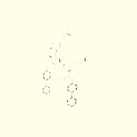 N=C(N)NCCC[C@@H](NC(=O)[C@@H](Cc1ccc(-c2ccccc2)cc1)NC(=O)[C@@H](CCCNC(=N)N)NC(=O)[C@H](N)Cc1ccc(-c2ccccc2)cc1)C(N)=O